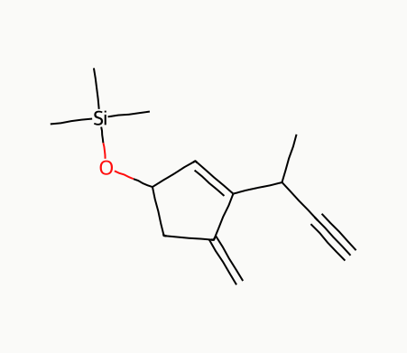 C#CC(C)C1=CC(O[Si](C)(C)C)CC1=C